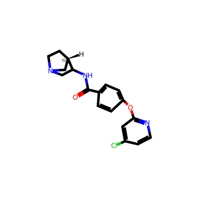 O=C(NC1CN2CC[C@H]1C2)c1ccc(Oc2cc(Cl)ccn2)cc1